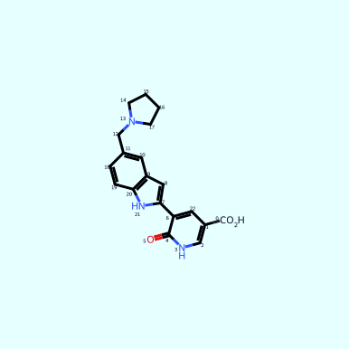 O=C(O)c1c[nH]c(=O)c(-c2cc3cc(CN4CCCC4)ccc3[nH]2)c1